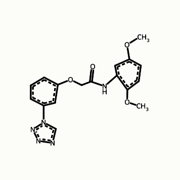 COc1ccc(OC)c(NC(=O)COc2cccc(-n3cnnn3)c2)c1